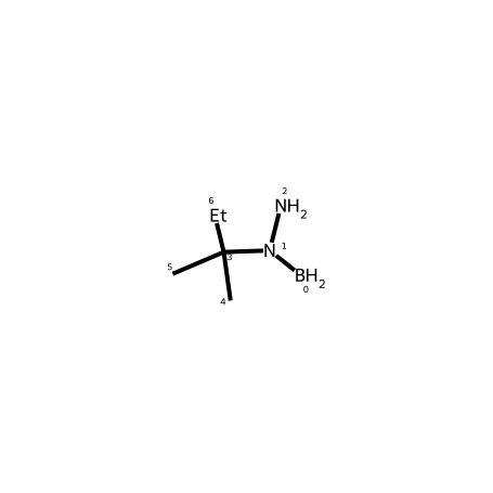 BN(N)C(C)(C)CC